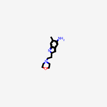 Cc1cc2c(cc1N)=CC(CCN1CCOCC1)N=2